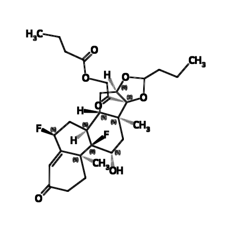 CCCC(=O)OCC(=O)[C@@]12OC(CCC)O[C@@H]1C[C@H]1[C@@H]3C[C@H](F)C4=CC(=O)CC[C@]4(C)[C@@]3(F)[C@@H](O)C[C@@]12C